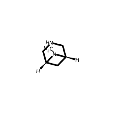 CN1[C@@H]2CNC[C@H]1C2